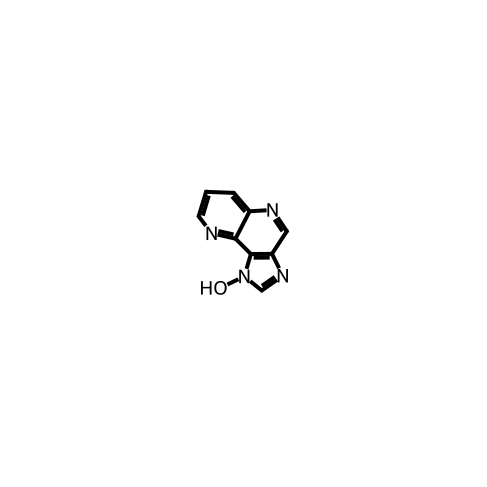 On1cnc2cnc3cccnc3c21